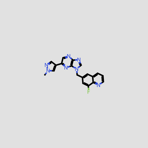 Cn1cc(-c2cnc3ncn(Cc4cc(F)c5ncccc5c4)c3n2)cn1